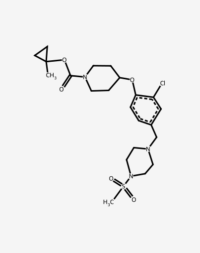 CC1(OC(=O)N2CCC(Oc3ccc(CN4CCN(S(C)(=O)=O)CC4)cc3Cl)CC2)CC1